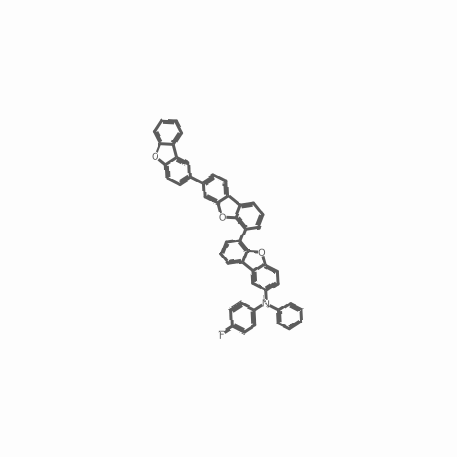 Fc1ccc(N(c2ccccc2)c2ccc3oc4c(-c5cccc6c5oc5cc(-c7ccc8oc9ccccc9c8c7)ccc56)cccc4c3c2)cc1